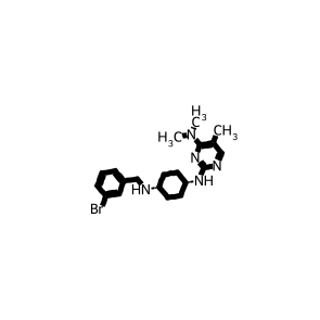 Cc1cnc(N[C@H]2CC[C@@H](NCc3cccc(Br)c3)CC2)nc1N(C)C